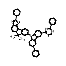 CC1(C)c2cc(-n3c4ccc(-c5ccccc5)cc4c4cc(-c5ncnc(-c6ccccc6)n5)ccc43)ccc2-c2c1ccc1nc(-c3ccccc3)oc21